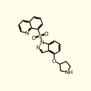 O=S(=O)(c1cccc2cccnc12)n1ncc2c(OC3CCNC3)cccc21